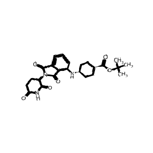 CC(C)(C)OC(=O)[C@H]1CC[C@H](Nc2cccc3c2C(=O)N(C2CCC(=O)NC2=O)C3=O)CC1